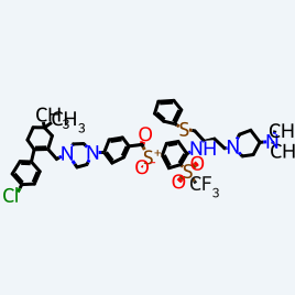 CN(C)C1CCN(CC[C@H](CSc2ccccc2)Nc2ccc([S@+]([O-])C(=O)c3ccc(N4CCN(CC5=C(c6ccc(Cl)cc6)CCC(C)(C)C5)CC4)cc3)cc2S(=O)(=O)C(F)(F)F)CC1